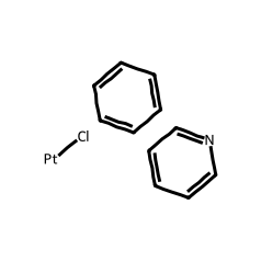 [Cl][Pt].c1ccccc1.c1ccncc1